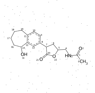 CC(=O)NCC1CC(c2ccc3c(c2)C(O)CCCC3)C(=O)O1